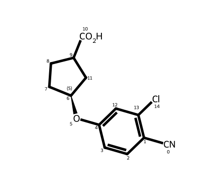 N#Cc1ccc(O[C@H]2CCC(C(=O)O)C2)cc1Cl